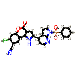 N#Cc1cc2c(cc1F)oc(=O)c1cc(-c3ccnc4c3ccn4S(=O)(=O)c3ccccc3)[nH]c12